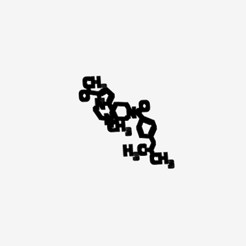 CC(=O)c1ccc2n1CCN(C)C21CCN(C(=O)c2ccc(CC(C)C)cc2)CC1